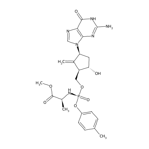 C=C1[C@H](CO[P@@](=O)(N[C@@H](C)C(=O)OC)Oc2ccc(C)cc2)[C@@H](O)C[C@@H]1n1cnc2c(=O)[nH]c(N)nc21